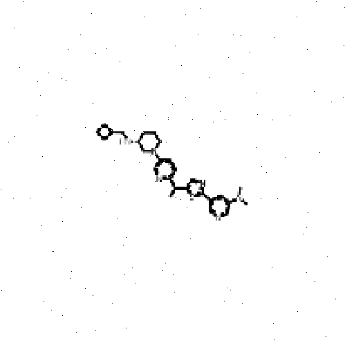 CC(c1ccc(N2CCC[C@@H](NCC3CCC3)C2)cn1)c1cnc(-c2cncc(N(C)C)c2)s1